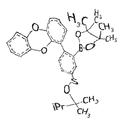 CC(C)C(C)(C)OSc1ccc(-c2cccc3c2Oc2ccccc2O3)c(B2OC(C)(C)C(C)(C)O2)c1